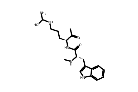 CN[C@@H](Cc1c[nH]c2ccccc12)C(=O)N[C@@H](CCCNC(N)O)C(C)=O